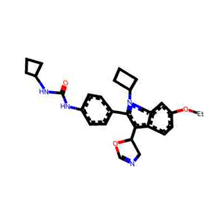 CCOc1ccc2c(C3CN=CO3)c(-c3ccc(NC(=O)NC4CCC4)cc3)n(C3CCC3)c2c1